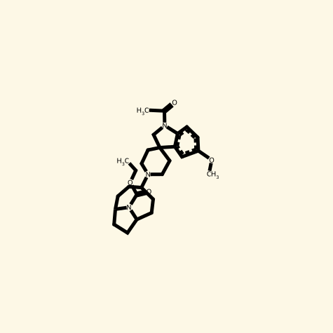 CCOC(=O)N1C2CCC(N3CCC4(CC3)CN(C(C)=O)c3ccc(OC)cc34)CCC1CC2